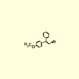 COc1ccc(C(=CC#N)c2ccccc2)cc1